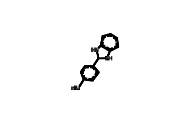 CCCCc1ccc(C2Nc3ccccc3N2)cc1